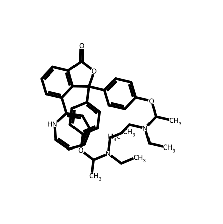 CCN(CC)C(C)Oc1ccc(C2(c3ccc(OC(C)N(CC)CC)cc3)OC(=O)c3cccc(C4=CC=CC=CN4)c32)cc1